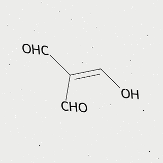 O=CC(C=O)=CO